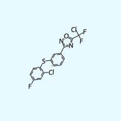 Fc1ccc(Sc2[c]ccc(-c3noc(C(F)(F)Cl)n3)c2)c(Cl)c1